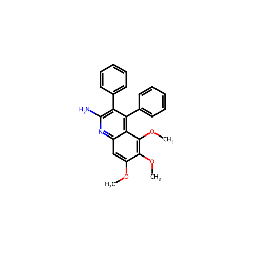 COc1cc2nc(N)c(-c3ccccc3)c(-c3ccccc3)c2c(OC)c1OC